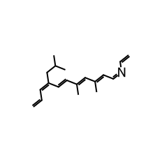 C=C\C=C(/C=C/C(C)=C/C(C)=C/C=N\C=C)CC(C)C